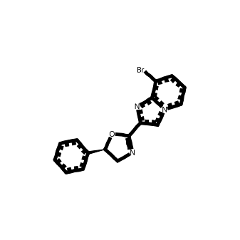 Brc1cccn2cc(C3=NC[C@@H](c4ccccc4)O3)nc12